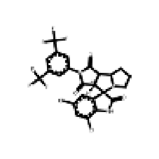 O=C1C2C3CCCN3C3(C(=O)Nc4c(Cl)cc(Cl)cc43)[C@@H]2C(=O)N1c1cc(C(F)(F)F)cc(C(F)(F)F)c1